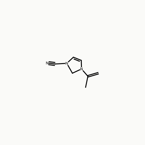 C=C(C)N1C=CN(C#N)C1